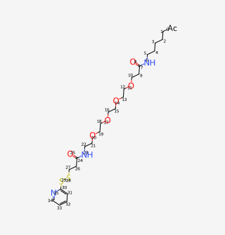 CC(=O)CCCCCNC(=O)CCOCCOCCOCCOCCNC(=O)CCSSc1ccccn1